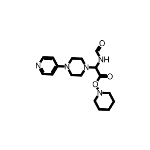 O=CNC(C(=O)ON1CCCCC1)N1CCN(c2ccncc2)CC1